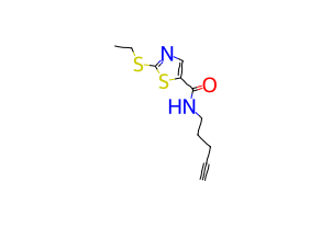 C#CCCCNC(=O)c1cnc(SCC)s1